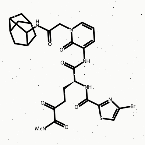 CNC(=O)C(=O)CC[C@H](NC(=O)c1nc(Br)cs1)C(=O)Nc1cccn(CC(=O)NC2C3CC4CC(C3)C2C4)c1=O